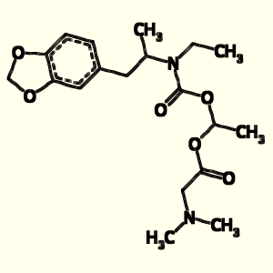 CCN(C(=O)OC(C)OC(=O)CN(C)C)C(C)Cc1ccc2c(c1)OCO2